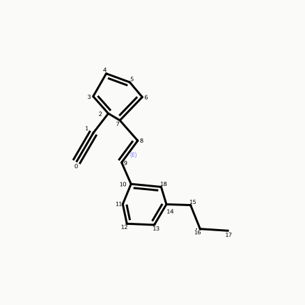 C#Cc1ccccc1/C=C/c1cccc(C[CH]C)c1